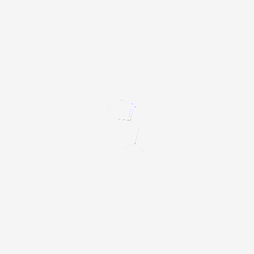 CC(C)CC1=NCCS1